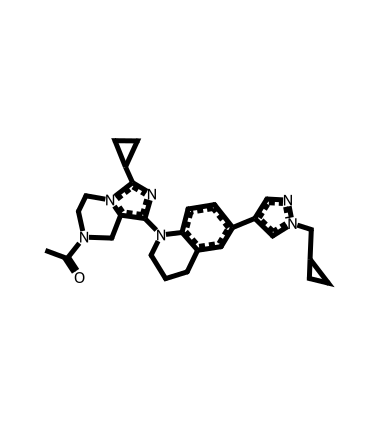 CC(=O)N1CCn2c(C3CC3)nc(N3CCCc4cc(-c5cnn(CC6CC6)c5)ccc43)c2C1